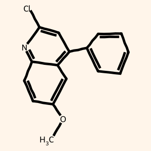 COc1ccc2nc(Cl)cc(-c3ccccc3)c2c1